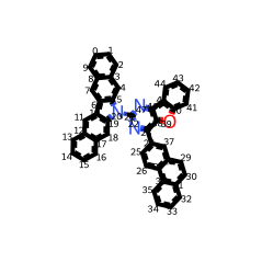 c1ccc2cc3c(cc2c1)c1cc2ccccc2cc1n3-c1nc(-c2ccc3c(ccc4ccccc43)c2)c2oc3ccccc3c2n1